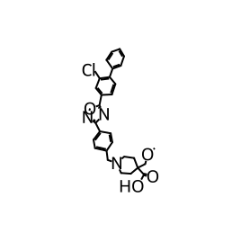 COCC1(C(=O)O)CCN(Cc2ccc(-c3noc(-c4ccc(-c5ccccc5)c(Cl)c4)n3)cc2)CC1